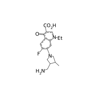 CCn1cc(C(=O)O)c(=O)c2cc(F)c(N3CC(C)C(CN)C3)cc21